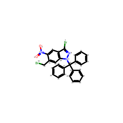 O=[N+]([O-])c1cc2c(Br)nn(C(c3ccccc3)(c3ccccc3)c3ccccc3)c2cc1CBr